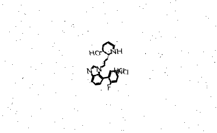 Cl.Cl.O[C@H]1CCCN[C@@H]1CCCn1cnc2cccc(-c3ccccc3F)c21